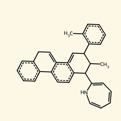 Cc1ccccc1C1C=c2c(ccc3c2=CCc2ccccc2-3)C(C2=CC=CC=CN2)C1C